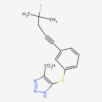 CC(C)(F)CC#Cc1cccc(Sc2[nH]nnc2C(=O)O)c1